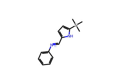 C[Si](C)(C)c1ccc(/C=N/c2ccccc2)[nH]1